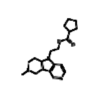 CN1CCc2c(c3cnccc3n2CCNC(=O)C2CCCC2)C1